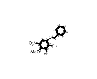 COc1c([N+](=O)[O-])cc(OCc2ccccc2)c(F)c1F